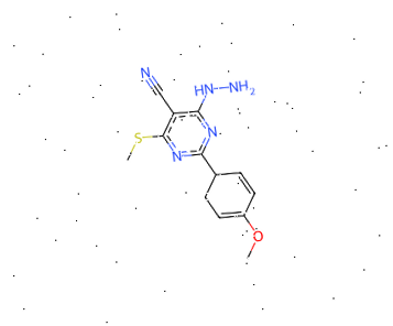 COC1=CCC(c2nc(NN)c(C#N)c(SC)n2)C=C1